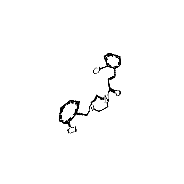 O=C(C=Cc1ccccc1Cl)N1CCN(Cc2ccccc2Cl)CC1